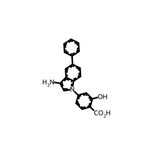 Nc1cn(-c2ccc(C(=O)O)c(O)c2)c2ccc(-c3ccccc3)cc12